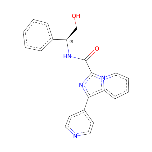 O=C(N[C@H](CO)c1ccccc1)c1nc(-c2ccncc2)c2ccccn12